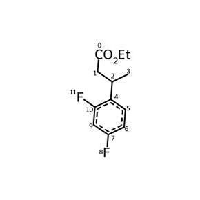 CCOC(=O)CC(C)c1ccc(F)cc1F